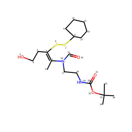 CC(=C(CCO)SSC1CCCCC1)N(C=O)CCNC(=O)OC(C)(C)C